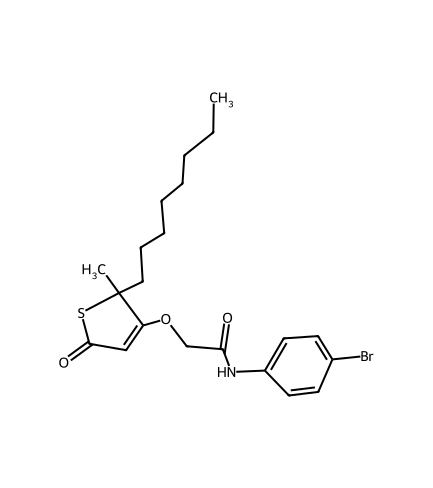 CCCCCCCCC1(C)SC(=O)C=C1OCC(=O)Nc1ccc(Br)cc1